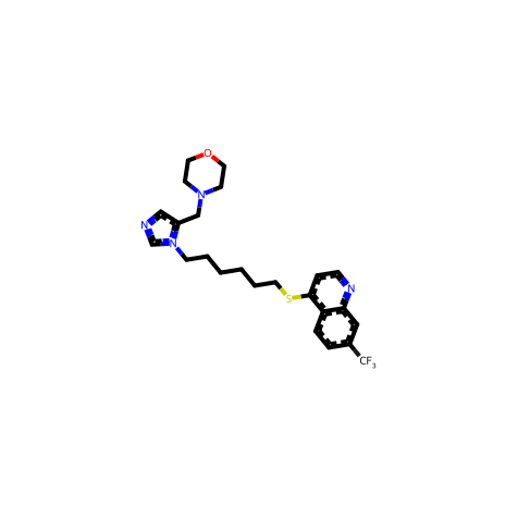 FC(F)(F)c1ccc2c(SCCCCCCn3cncc3CN3CCOCC3)ccnc2c1